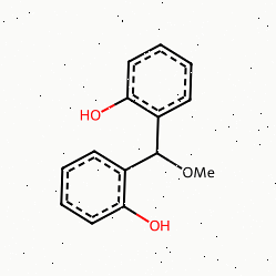 COC(c1ccccc1O)c1ccccc1O